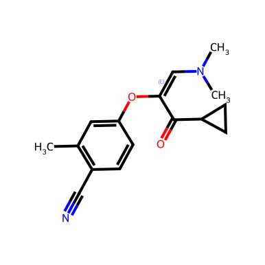 Cc1cc(O/C(=C/N(C)C)C(=O)C2CC2)ccc1C#N